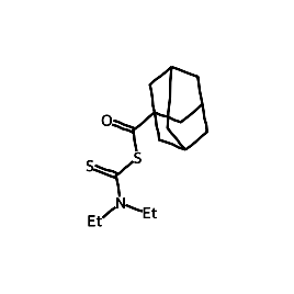 CCN(CC)C(=S)SC(=O)C12CC3CC(CC(C3)C1)C2